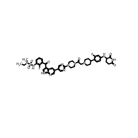 CCN(C)S(=O)(=O)Nc1cccc(C(=O)c2c[nH]c3ncc(-c4cnc(N5CCN(C(=O)CN6CCC(c7ccc(NC8CCC(=O)NC8=O)cc7F)CC6)CC5)nc4)cc23)c1F